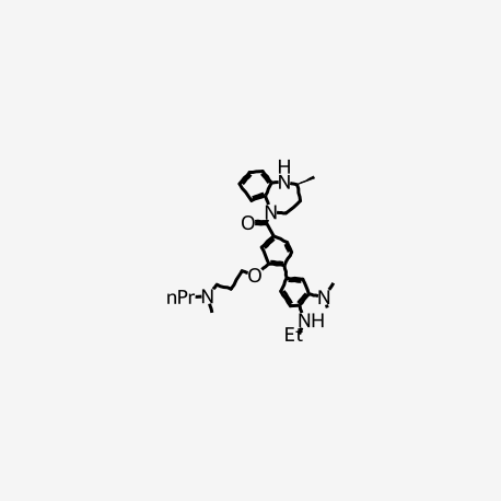 CCCN(C)CCCOc1cc(C(=O)N2CC[C@H](C)Nc3ccccc32)ccc1-c1ccc(NCC)c(N(C)C)c1